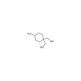 CC1CCC(CO)(CO)CC1